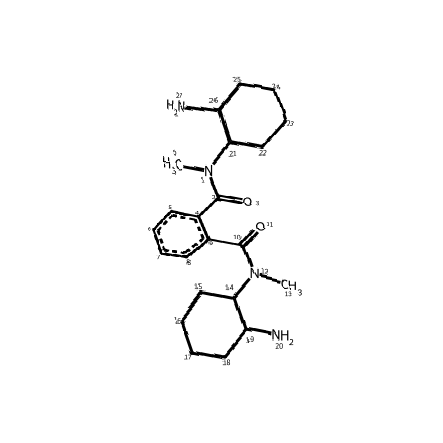 CN(C(=O)c1ccccc1C(=O)N(C)C1CCCCC1N)C1CCCCC1N